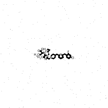 C=C/C(=N\c1c(C)nc(CN2CCC(Cc3cccc(Cc4ccc(Cl)cc4F)n3)CC2)n1C[C@@H]1CCO1)C(=O)O